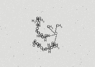 CCCCCCCCC1C(CCCCCC)CCC(CCCCCCCC(=O)NC(C)(C)C2=CC3OC(c4ccc(OC5=CCC(c6nc7ccc(N8C(=O)CCC8=O)cc7o6)C=C5)cc4)NC3C=C2)C1CCCCCCCC(O)Nc1ccc2c(c1)OC(c1ccc(OC3=CC=C(C4=NC5C=CC(C(C)(C)N6CCCC6=O)CC5O4)CC3)cc1)N2